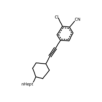 CCCCCCCC1CCC(C#Cc2ccc(C#N)c(Cl)c2)CC1